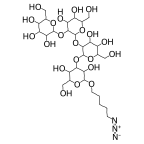 [N-]=[N+]=NCCCCCOC1OC(CO)C(O)C(OC2OC(CO)C(O)C(O)C2OC2OC(CO)C(O)C(O)C2OC2OC(CO)C(O)C(O)C2O)C1O